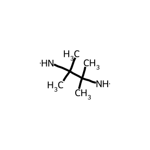 CC(C)([NH])C(C)(C)[NH]